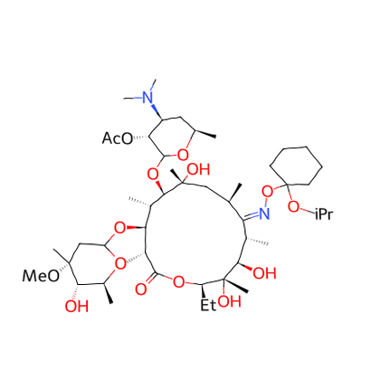 CC[C@H]1OC(=O)[C@H](C)[C@@H](OC2C[C@@](C)(OC)[C@@H](O)[C@H](C)O2)[C@H](C)[C@@H](OC2O[C@H](C)C[C@H](N(C)C)[C@H]2OC(C)=O)[C@](C)(O)C[C@@H](C)/C(=N\OC2(OC(C)C)CCCCC2)[C@H](C)[C@@H](O)[C@]1(C)O